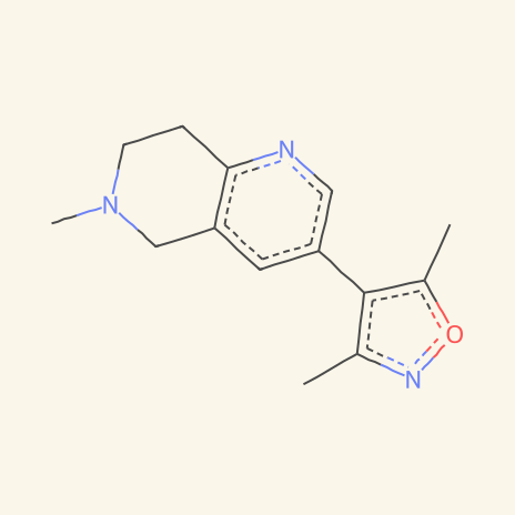 Cc1noc(C)c1-c1cnc2c(c1)CN(C)CC2